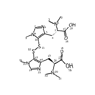 CN(C)[C@@H](Cc1ncn(C)c1SSc1c(C[C@@H](C(=O)O)N(C)C)ncn1C)C(=O)O